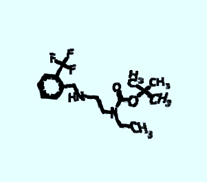 CCN(CCNCc1ccccc1C(F)(F)F)C(=O)OC(C)(C)C